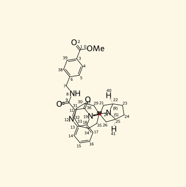 COC(=O)c1ccc(CNC(=O)c2nc3ccccc3n([C@H]3C[C@H]4CC[C@@H](C3)N4C3CCCCCCC3)c2=O)cc1